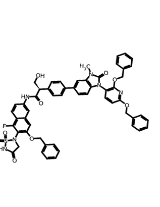 Cn1c(=O)n(-c2ccc(OCc3ccccc3)nc2OCc2ccccc2)c2ccc(-c3ccc([C@H](CO)C(=O)Nc4ccc5c(F)c(N6CC(=O)NS6(=O)=O)c(OCc6ccccc6)cc5c4)cc3)cc21